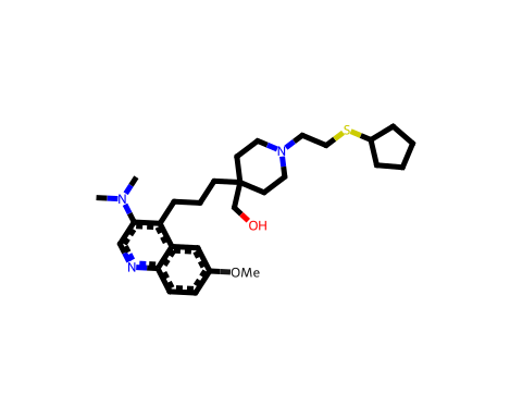 COc1ccc2ncc(N(C)C)c(CCCC3(CO)CCN(CCSC4CCCC4)CC3)c2c1